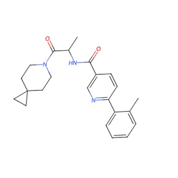 Cc1ccccc1-c1ccc(C(=O)NC(C)C(=O)N2CCC3(CC2)CC3)cn1